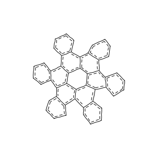 c1ccc2c(c1)c1c3ccccc3c3c4ccccc4c4c5ccccc5c5c6ccccc6c6c7ccccc7c2c2c1c3c4c5c62